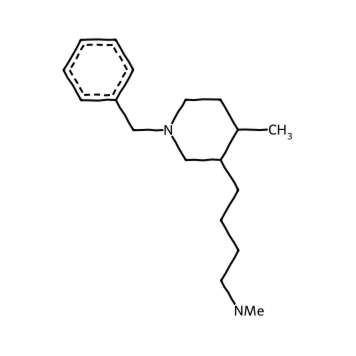 CNCCCCC1CN(Cc2ccccc2)CCC1C